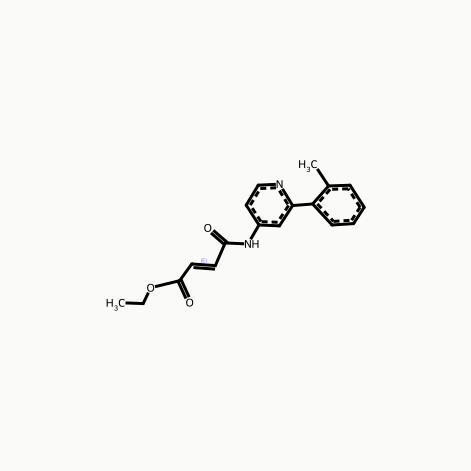 CCOC(=O)/C=C/C(=O)Nc1ccnc(-c2ccccc2C)c1